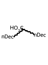 CCCCCCCCCCCCCCCC=CC=C(CCCCCCCCCCCCCCCCC)C(=O)O